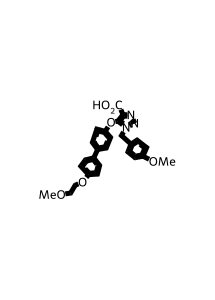 COCCOc1ccc(-c2ccc(Oc3c(C(=O)O)nnn3Cc3ccc(OC)cc3)cc2)cc1